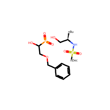 CCCCCCCCCCS(=O)(=O)N[C@@H](CO)CCCC.O=P(=O)C(O)COCc1ccccc1